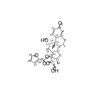 C[C@@H]1CC2C3CCC4=CC(=O)C=C[C@]4(C)[C@@]3(F)[C@@H](O)C[C@]2(C)[C@@]1(OC(=O)c1ccco1)C(=O)SO